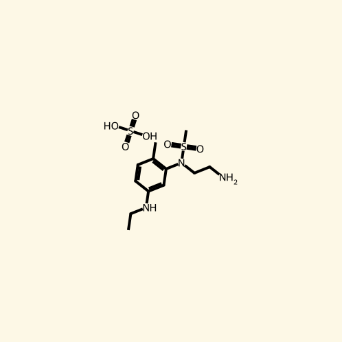 CCNc1ccc(C)c(N(CCN)S(C)(=O)=O)c1.O=S(=O)(O)O